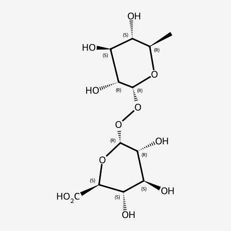 C[C@H]1O[C@H](OO[C@H]2O[C@H](C(=O)O)[C@@H](O)[C@H](O)[C@H]2O)[C@H](O)[C@@H](O)[C@@H]1O